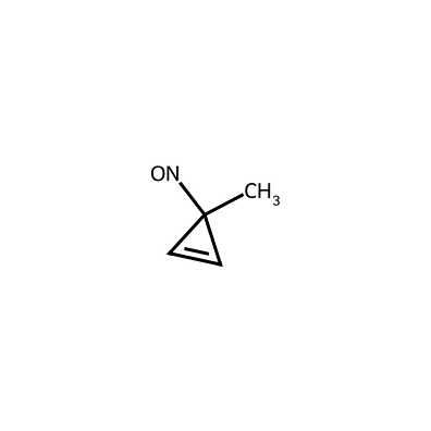 CC1(N=O)C=C1